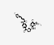 COc1nc(N[C@@H]2CCN(C(=O)c3ccc(NC(=O)/C=C/CN4CC[C@@H](F)C4)cn3)C2)ncc1Cl